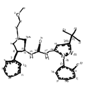 COCCN1CC(c2ccccc2)[C@H](NC(=O)Nc2cc(C(C)(C)C)nn2-c2ccccc2F)C1